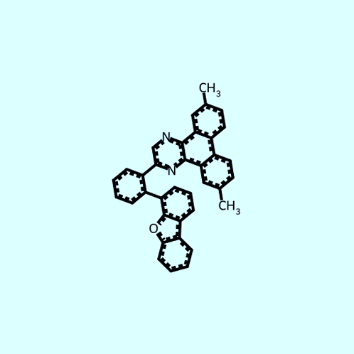 Cc1ccc2c3ccc(C)cc3c3nc(-c4ccccc4-c4cccc5c4oc4ccccc45)cnc3c2c1